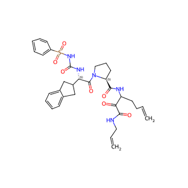 C=CCCC(NC(=O)[C@@H]1CCCN1C(=O)[C@@H](NC(=O)NS(=O)(=O)c1ccccc1)C1Cc2ccccc2C1)C(=O)C(=O)NCC=C